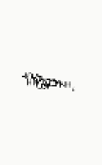 NCc1ccc2c(c1)CN(C1CCC(O)NC1O)C2=O